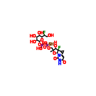 C[C@]1(COP(=O)(S)OP(=O)(O)OC2OC([C@@H](F)CO)C(O)C(O)C2O)O[C@@H](n2ccc(=O)[nH]c2=O)[C@@](F)(C2CC2)[C@@H]1O